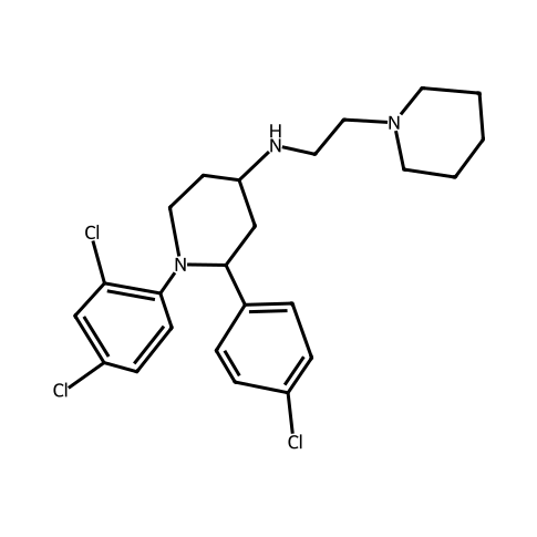 Clc1ccc(C2CC(NCCN3CCCCC3)CCN2c2ccc(Cl)cc2Cl)cc1